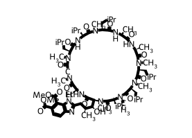 CC[C@@H]1NC(=O)[C@H]([C@H](O)[C@H](C)Cc2nc3ccc(C(=O)OC)c(C(=O)OC)c3[nH]2)N(C)C(=O)[C@H](C(C)C)N(C)C(=O)[C@H](CC(C)C)N(C)C(=O)[C@H](CC(C)C)N(C)C(=O)[C@@H](C)NC(=O)[C@H](C)NC(=O)[C@H](CC(C)C)N(C)C(=O)[C@H](C(C)C)NC(=O)[C@H](CC(C)C)N(C)C(=O)CN(C)C1=O